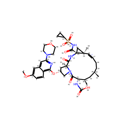 COc1ccc2c(O[C@@H]3C[C@H]4C(=O)N[C@]5(C(=O)NS(=O)(=O)C6CC6)C[C@H]5/C=C\CC[C@@H](C)C[C@@H](C)[C@H](NC(=O)O)C(=O)N4C3)nc(N3CCOCC3)cc2c1